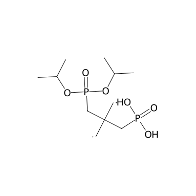 [CH2]C([CH2])(CP(=O)(O)O)CP(=O)(OC(C)C)OC(C)C